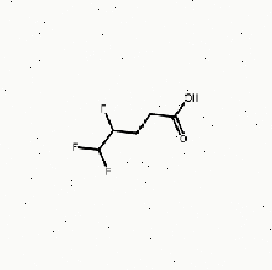 O=C(O)CCC(F)C(F)F